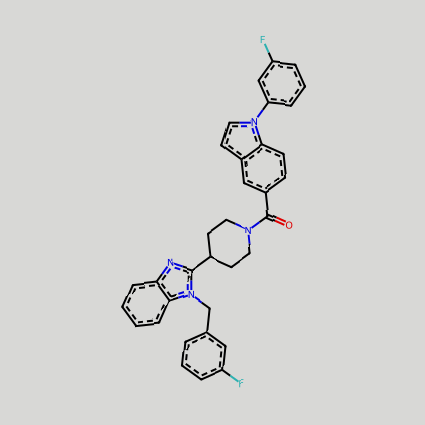 O=C(c1ccc2c(ccn2-c2cccc(F)c2)c1)N1CCC(c2nc3ccccc3n2Cc2cccc(F)c2)CC1